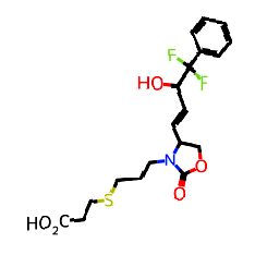 O=C(O)CCSCCCN1C(=O)OCC1/C=C/C(O)C(F)(F)c1ccccc1